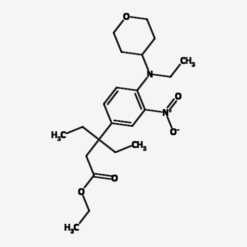 CCOC(=O)CC(CC)(CC)c1ccc(N(CC)C2CCOCC2)c([N+](=O)[O-])c1